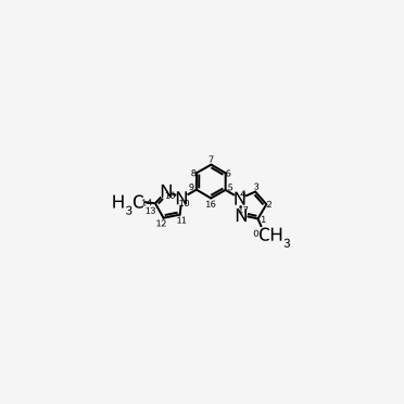 Cc1ccn(-c2cccc(-n3ccc(C)n3)c2)n1